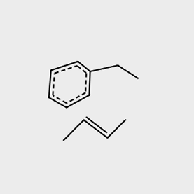 CC=CC.CCc1ccccc1